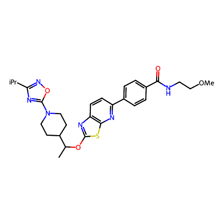 COCCNC(=O)c1ccc(-c2ccc3nc(OC(C)C4CCN(c5nc(C(C)C)no5)CC4)sc3n2)cc1